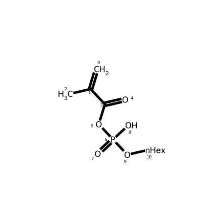 C=C(C)C(=O)OP(=O)(O)OCCCCCC